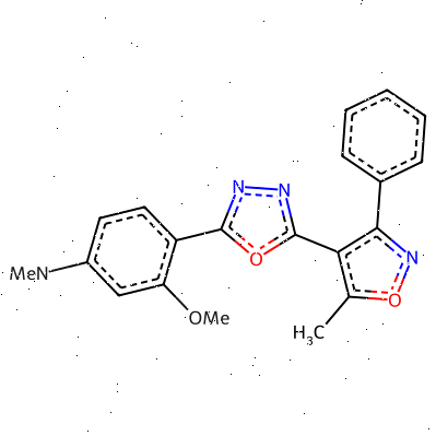 CNc1ccc(-c2nnc(-c3c(-c4ccccc4)noc3C)o2)c(OC)c1